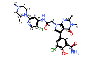 Cc1nc2c(c(-c3cc(Cl)c(O)c(C(N)=O)c3)cn2CC(=O)Nc2cc(N3CCN(C)C[C@@H]3C)ncc2Cl)c(=O)n1C